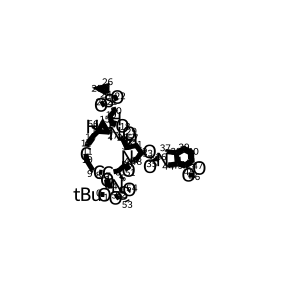 CC(C)(C)OC(=O)N(C[C@H]1CCCCC/C=C\[C@@H]2C[C@@]2(C(=O)CCS(=O)(=O)C2CC2)NC(=O)[C@@H]2C[C@@H](OC(=O)N3Cc4ccc5c(c4C3)OCO5)CN2C1=O)S(C)(=O)=O